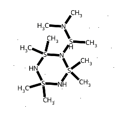 CN(C)[SH](C)N1S(C)(C)NS(C)(C)NS1(C)C